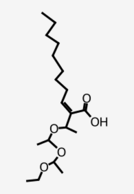 CCCCCCCCC=C(C(=O)O)C(C)OC(C)OC(C)OCC